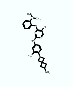 Cc1cc(Nc2ncc(Cl)c(Nc3ccccc3P(C)C)n2)ccc1N1CC2(CC(N)C2)C1